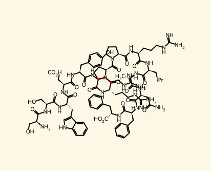 CC(C)C[C@H](NC(=O)[C@H](CCCNC(=N)N)NC(=O)[C@@H]1CCCN1C(=O)[C@@H]1CCCN1C(=O)[C@H](CCCNC(=N)N)NC(=O)[C@H](CCCNC(=N)N)NC(=O)[C@H](Cc1ccc(O)cc1)NC(=O)[C@H](CC(=O)O)NC(=O)[C@H](Cc1c[nH]c2ccccc12)NC(=O)[C@H](CO)NC(=O)[C@@H](N)CO)C(=O)N[C@@H](C)C(=O)N[C@@H](CC(N)=O)C(=O)N[C@@H](Cc1ccccc1)C(=O)N[C@@H](Cc1ccccc1)C(=O)O